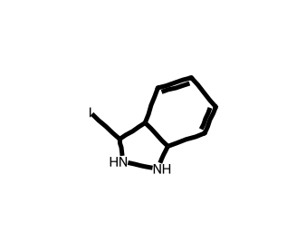 IC1NNC2C=CC=CC12